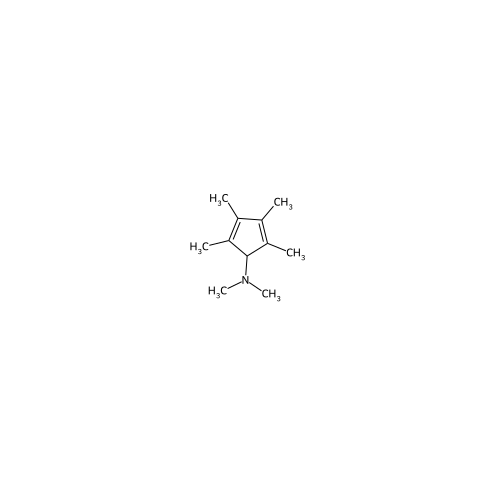 CC1=C(C)C(N(C)C)C(C)=C1C